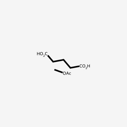 COC(C)=O.O=C(O)CCCC(=O)O